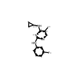 Fc1cccc(Nc2ncc(I)c(NC3CC3)n2)c1